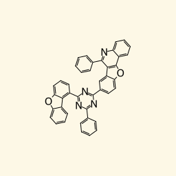 c1ccc(-c2nc(-c3ccc4oc5c6ccccc6nc(-c6ccccc6)c5c4c3)nc(-c3cccc4oc5ccccc5c34)n2)cc1